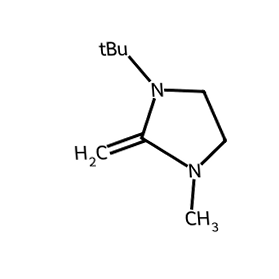 C=C1N(C)CCN1C(C)(C)C